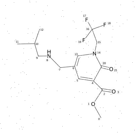 COC(=O)c1cc(CNCC(C)C)cn(CC(F)(F)F)c1=O